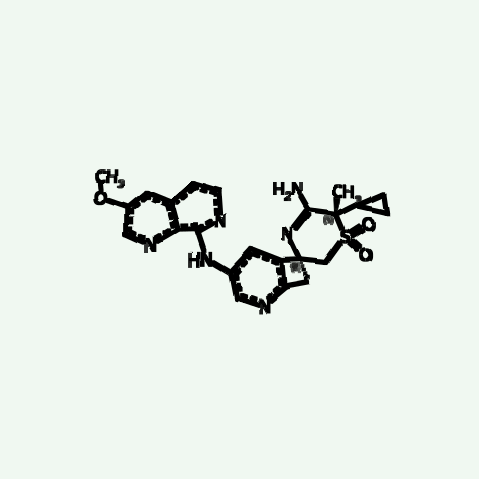 COc1cnc2c(Nc3cnc4c(c3)[C@]3(C4)CS(=O)(=O)[C@@](C)(C4CC4)C(N)=N3)nccc2c1